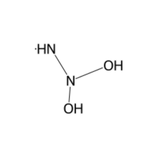 [NH]N(O)O